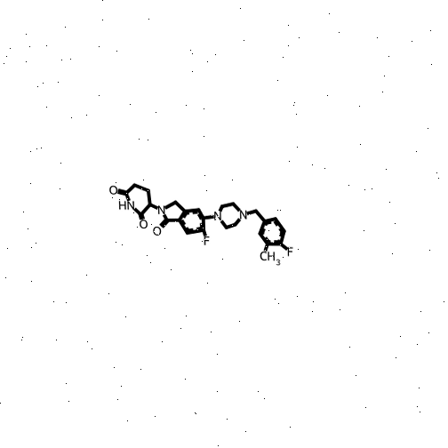 Cc1cc(CN2CCN(c3cc4c(cc3F)C(=O)N(C3CCC(=O)NC3=O)C4)CC2)ccc1F